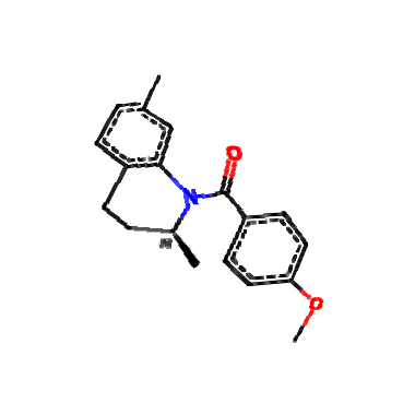 COc1ccc(C(=O)N2c3cc(C)ccc3CC[C@@H]2C)cc1